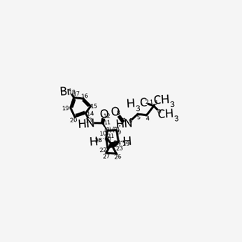 CC(C)(C)CCNC(=O)[C@H]1[C@H](C(=O)Nc2ccc(Br)cc2)[C@@H]2C=C[C@H]1C21CC1